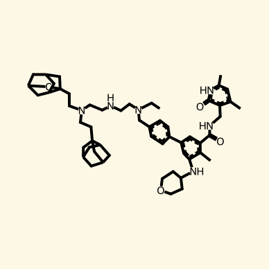 CCN(CCNCCN(CCC12CC3CC(CC1C3)C2)CCC12CC3CC(CC1C3)C2)Cc1ccc(-c2cc(NC3CCOCC3)c(C)c(C(=O)NCc3c(C)cc(C)[nH]c3=O)c2)cc1